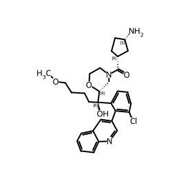 COCCCC[C@@](O)(c1cccc(Cl)c1-c1cnc2ccccc2c1)[C@H]1CN(C(=O)[C@@H]2CC[C@H](N)C2)CCO1